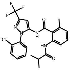 Cc1cccc(NC(=O)C(C)C)c1C(=O)Nc1cc(C(F)(F)F)nn1-c1ccccc1Cl